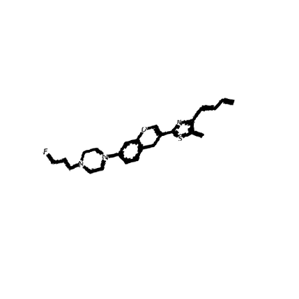 C=CC=Cc1nc(C2=COc3cc(N4CCN(CCCF)CC4)ccc3C2)sc1C